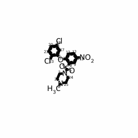 CN1CCN(S(=O)(=O)c2cc([N+](=O)[O-])ccc2Oc2cc(Cl)ccc2Cl)CC1